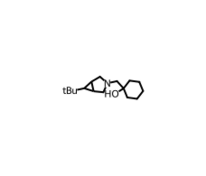 CC(C)(C)C1C2CN(CC3(O)CCCCC3)CC21